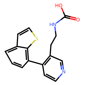 O=C(O)NCCc1cnccc1-c1cccc2ccsc12